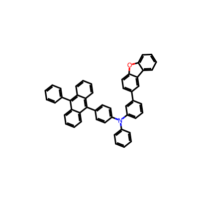 c1ccc(-c2c3ccccc3c(-c3ccc(N(c4ccccc4)c4cccc(-c5ccc6oc7ccccc7c6c5)c4)cc3)c3ccccc23)cc1